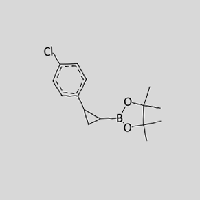 CC1(C)OB(C2CC2c2ccc(Cl)cc2)OC1(C)C